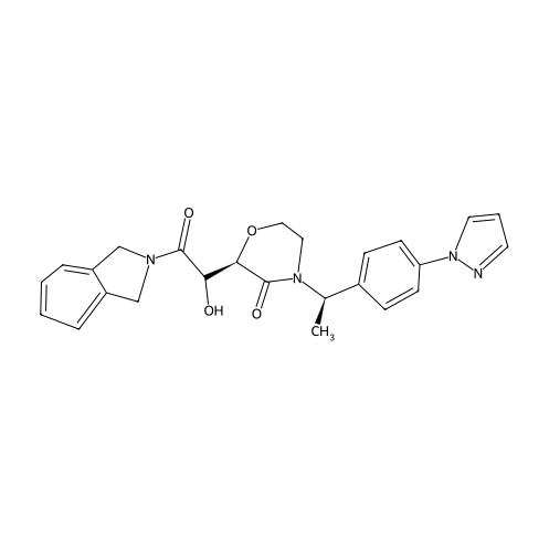 C[C@H](c1ccc(-n2cccn2)cc1)N1CCO[C@H](C(O)C(=O)N2Cc3ccccc3C2)C1=O